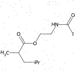 CC(C)CC(C)C(=O)OCCNC(=O)I